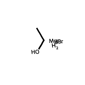 Br.CCO.[MgH2]